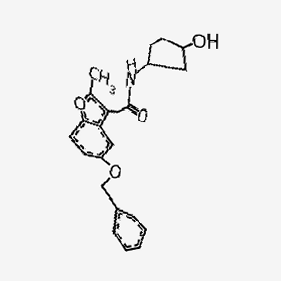 Cc1oc2ccc(OCc3ccccc3)cc2c1C(=O)NC1CCC(O)CC1